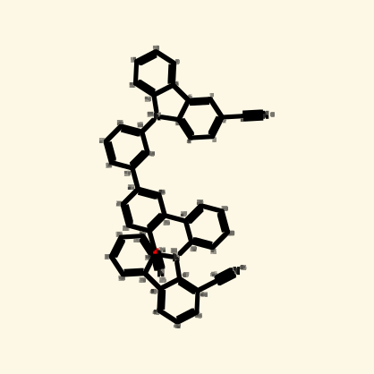 N#Cc1ccc2c(c1)c1ccccc1n2-c1cccc(-c2ccc(C#N)c(-c3ccccc3-n3c4ccccc4c4cccc(C#N)c43)c2)c1